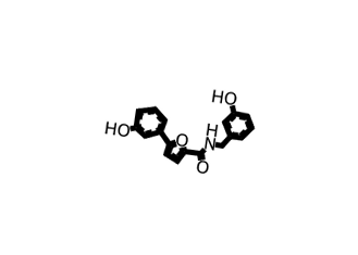 O=C(NCc1cccc(O)c1)c1ccc(-c2cccc(O)c2)o1